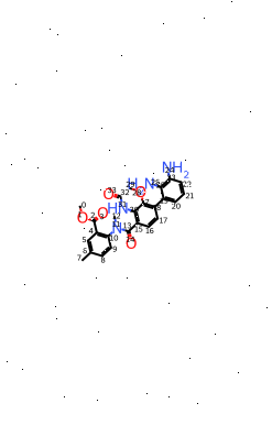 COC(=O)c1cc(C)ccc1N(C)C(=O)c1ccc(-c2cccc(N)c2N)c(OC)c1NC=O